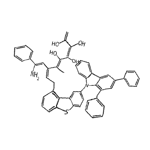 C=C(O)/C(O)=C(O)\C(O)=C(/C)C(=CCc1cccc2sc3ccc(-n4c5ccccc5c5cc(-c6ccccc6)cc(-c6ccccc6)c54)cc3c12)/C=C(\N)c1ccccc1